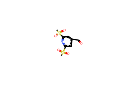 CS(=O)(=O)c1cc(C=O)cc(S(C)(=O)=O)n1